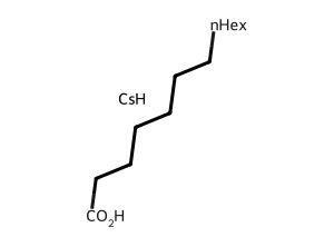 CCCCCCCCCCCCC(=O)O.[CsH]